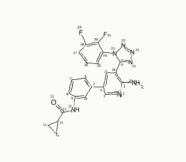 Nc1ncc(-c2cccc(NC(=O)C3CC3)c2)cc1-c1nnnn1-c1cccc(F)c1F